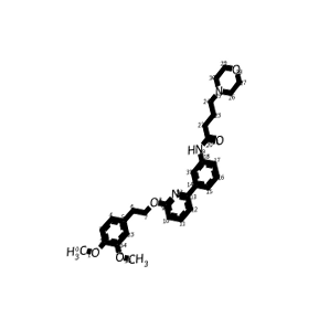 COc1ccc(CCOc2cccc(-c3cccc(NC(=O)CCCN4CCOCC4)c3)n2)cc1OC